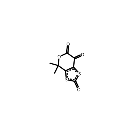 CC1(C)OC(=O)C(=O)c2sc(=O)sc21